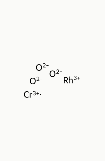 [Cr+3].[O-2].[O-2].[O-2].[Rh+3]